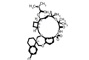 BC1(B)/C=C/[C@H](OC(=O)N(C)C)[C@@H]2CC[C@H]2CN2C[C@@]3(CCCc4cc(Cl)ccc43)COc3ccc(cc32)S(=O)(=O)NC(=O)C(C)(C)O1